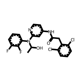 CC(O)N(c1cc(NC(=O)Cc2c(Cl)cccc2Cl)ccn1)c1cccc(F)c1F